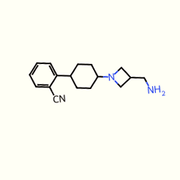 N#Cc1ccccc1C1CCC(N2CC(CN)C2)CC1